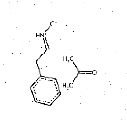 CC(C)=O.[O-][NH+]=CCc1ccccc1